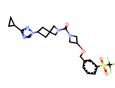 O=C(N1CC(OCc2cccc(S(=O)(=O)C(F)(F)F)c2)C1)N1CC2(CC(n3cnc(C4CC4)n3)C2)C1